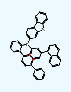 c1ccc(-c2ccc(-c3ccccc3N(c3cccc(-c4cccc5ccccc45)c3)c3ccc4c(c3)sc3ccccc34)cc2)cc1